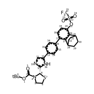 CC(C)(C)OC(=O)N1CCS[C@H]1c1ncc(-c2ccc(-c3ccc(OS(=O)(=O)C(F)(F)F)c4c3C3CCC4CC3)cc2)[nH]1